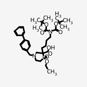 CCOP1(=O)CCN(Cc2ccc(-c3ccccc3)cc2)CC1(CCCCN(C(=O)OC(C)(C)C)C(=O)OC(C)(C)C)C(=O)O